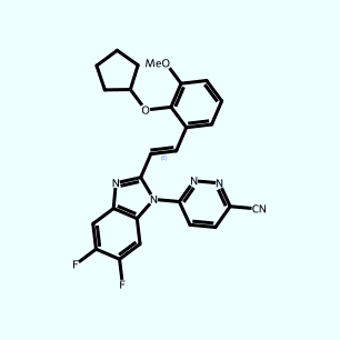 COc1cccc(/C=C/c2nc3cc(F)c(F)cc3n2-c2ccc(C#N)nn2)c1OC1CCCC1